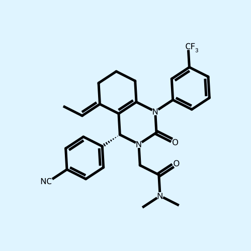 CC=C1CCCC2=C1[C@@H](c1ccc(C#N)cc1)N(CC(=O)N(C)C)C(=O)N2c1cccc(C(F)(F)F)c1